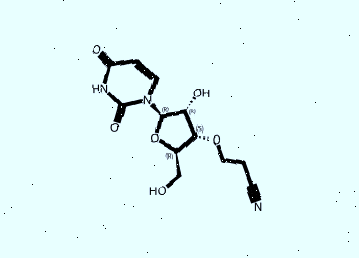 N#CCCO[C@H]1[C@@H](O)[C@H](n2ccc(=O)[nH]c2=O)O[C@@H]1CO